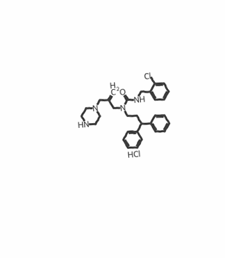 C=C(CN1CCNCC1)CN(CCC(c1ccccc1)c1ccccc1)C(=O)NCc1ccccc1Cl.Cl